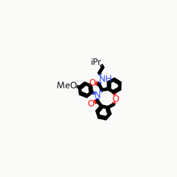 COc1ccc(N2C(=O)c3ccccc3COc3ccccc3C2C(=O)NCCC(C)C)cc1